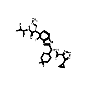 COC[C@H](C(=O)NC(F)C(F)F)c1ccc2[nH]c([C@@H](NC(=O)c3nonc3C3CC3)C3CCC(F)(F)CC3)nc2c1F